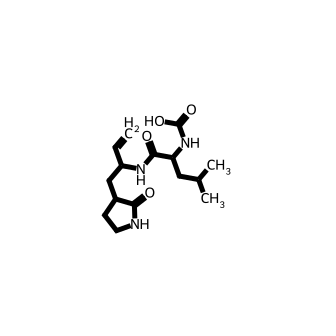 C=CC(CC1CCNC1=O)NC(=O)C(CC(C)C)NC(=O)O